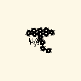 C[Si]1(C)c2cc(-c3cccc(-c4ccccc4)c3)ccc2-c2cc3c(-c4ccc5c6c(cccc46)-c4ccccc4-5)c4ccccc4c(-c4ccc5c6c(cccc46)-c4ccccc4-5)c3cc21